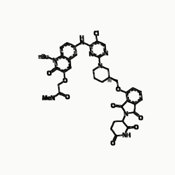 CCCCn1c(=O)c(OCC(=O)NC)cc2cc(Nc3nc(N4CCC[C@H](COc5cccc6c5C(=O)N(C5CCC(=O)NC5=O)C6=O)C4)ncc3Cl)ccc21